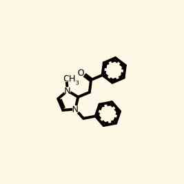 CN1C=CN(Cc2ccccc2)C1CC(=O)c1ccccc1